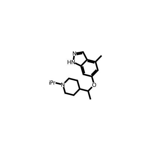 Cc1cc(OC(C)C2CCN(C(C)C)CC2)cc2[nH]ncc12